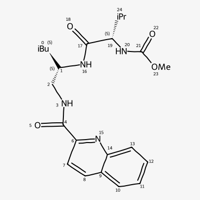 CC[C@H](C)[C@@H](CNC(=O)c1ccc2ccccc2n1)NC(=O)[C@@H](NC(=O)OC)C(C)C